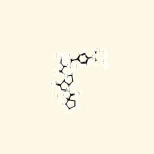 CC(C)CC(NC(=O)c1ccc(N(C)C)cc1)C(=O)N1CCC2C1C(=O)CN2C(=O)C1(N)CCCC1